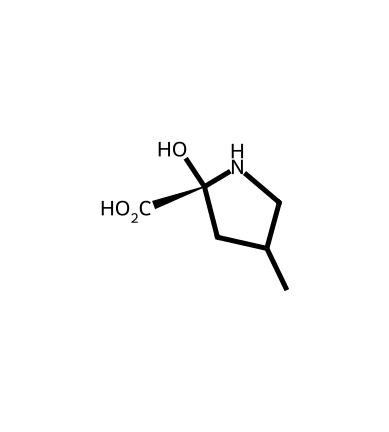 CC1CN[C@](O)(C(=O)O)C1